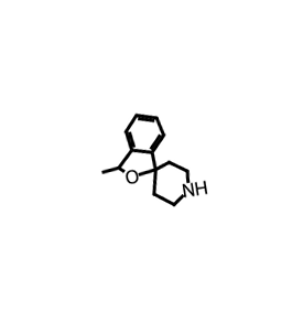 CC1OC2(CCNCC2)c2ccccc21